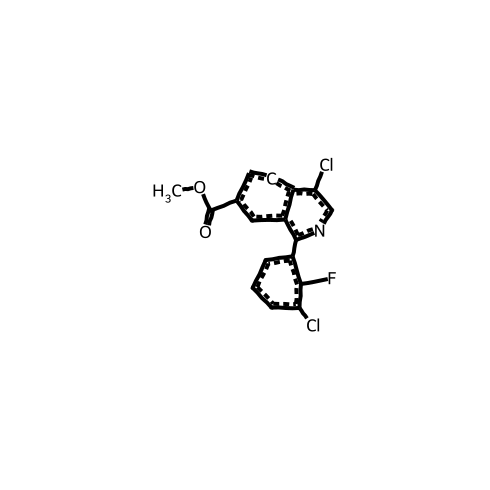 COC(=O)c1ccc2c(Cl)cnc(-c3cccc(Cl)c3F)c2c1